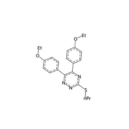 CCCSc1nnc(-c2ccc(OCC)cc2)c(-c2ccc(OCC)cc2)n1